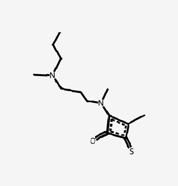 CCCN(C)CCCN(C)c1c(C)c(=S)c1=O